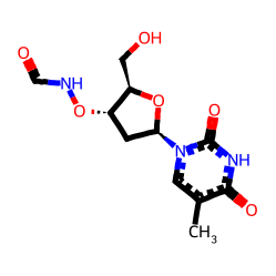 Cc1cn([C@H]2C[C@H](ONC=O)[C@@H](CO)O2)c(=O)[nH]c1=O